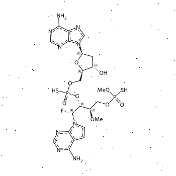 CO[C@H](COP(=O)(S)OC)[C@@H](OP(=O)(S)OC[C@H]1O[C@@H](n2cnc3c(N)ncnc32)C[C@@H]1O)[C@@H](F)n1ccc2c(N)ncnc21